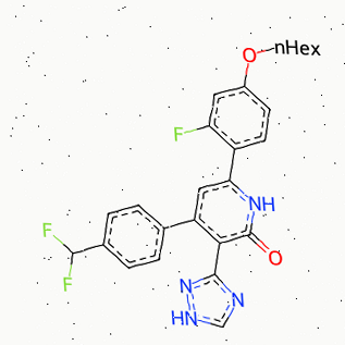 CCCCCCOc1ccc(-c2cc(-c3ccc(C(F)F)cc3)c(-c3nc[nH]n3)c(=O)[nH]2)c(F)c1